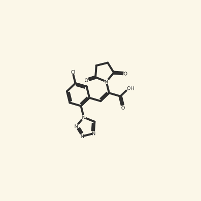 O=C(O)/C(=C/c1cc(Cl)ccc1-n1cnnn1)N1C(=O)CCC1=O